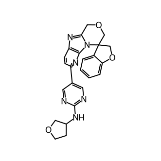 c1ccc2c(c1)OCC21COCc2nc3ccc(-c4cnc(NC5CCOC5)nc4)nc3n21